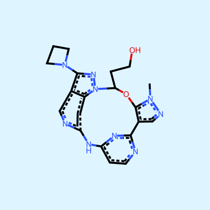 Cn1ncc2c1OC(CCO)n1nc(N3CCC3)c3cnc(cc31)Nc1ccnc-2n1